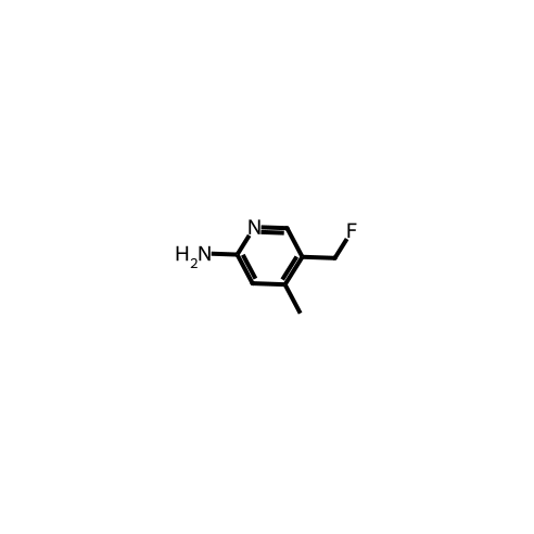 Cc1cc(N)ncc1CF